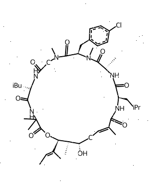 C/C=C(\C)[C@H]1OC(=O)C(C)(C)NC(=O)C([C@@H](C)CC)NC(=O)CN(C)C(=O)[C@@H](Cc2ccc(Cl)cc2)N(C)C(=O)[C@H](C)NC(=O)[C@@H](CC(C)C)NC(=O)/C(C)=C/C[C@H](O)[C@@H]1C